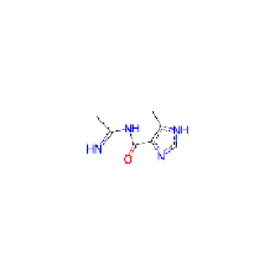 CC(=N)NC(=O)c1nc[nH]c1C